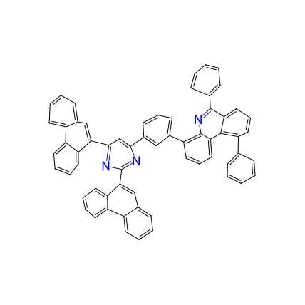 c1ccc(-c2nc3c(-c4cccc(-c5cc(-c6cc7ccccc7c7ccccc67)nc(-c6cc7ccccc7c7ccccc67)n5)c4)cccc3c3c(-c4ccccc4)cccc23)cc1